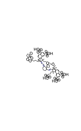 CC[N+]1=C(/C=C/C2=C(Cl)C(=C/C=C3/N(CCCC(=O)ON4C(=O)CCC4=O)c4ccc5c(S(=O)(=O)O)cc(S(=O)(=O)O)cc5c4C3(C)CCOCCOC)/CCC2)C(C)(CCCS(=O)(=O)O)c2c1ccc1c(S(=O)(=O)O)cc(S(=O)(=O)O)cc21